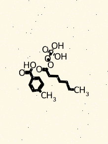 CCCCCCC(=O)OOP(=O)(O)O.Cc1ccc(C(=O)O)cc1